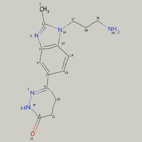 Cc1nc2cc(C3=NNC(=O)CC3)ccc2n1CCCN